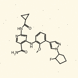 COc1c(Nc2cc(NC(=O)C3CC3)ncc2C(N)=O)cccc1-c1cnn(C2CCCC2F)c1